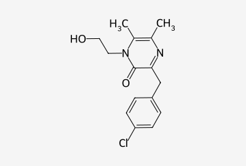 Cc1nc(Cc2ccc(Cl)cc2)c(=O)n(CCO)c1C